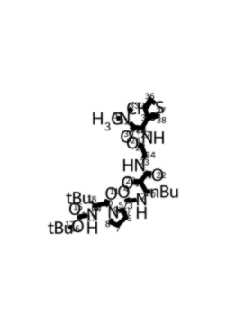 CCCCC(NC(=O)[C@@H]1CCCN1C(=O)[C@@H](NC(=O)OC(C)(C)C)C(C)(C)C)C(=O)C(=O)NCC(=O)N[C@H](C(=O)N(C)C)c1ccsc1